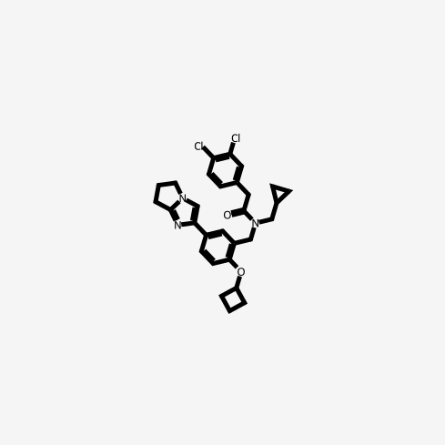 O=C(Cc1ccc(Cl)c(Cl)c1)N(Cc1cc(-c2cn3c(n2)CCC3)ccc1OC1CCC1)CC1CC1